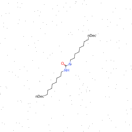 CCCCCCCCCCCCCCCCCC[N]C(=O)NCCCCCCCCCCCCCCCCCC